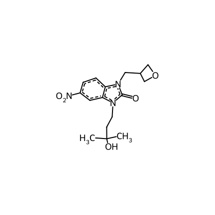 CC(C)(O)CCn1c(=O)n(CC2COC2)c2ccc([N+](=O)[O-])cc21